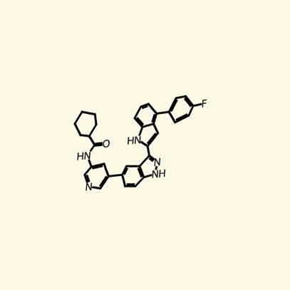 O=C(Nc1cncc(-c2ccc3[nH]nc(-c4cc5c(-c6ccc(F)cc6)cccc5[nH]4)c3c2)c1)C1CCCCC1